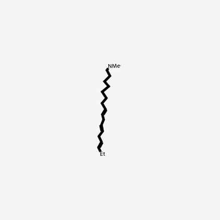 CCC=CCC=CCC=CCCCCCCC[N]C